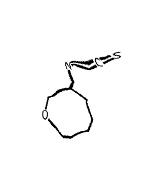 S=C=NC1CCCOC1